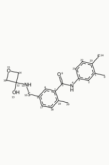 Cc1cc(NC(=O)c2cc(SNC3(O)COC3)ccc2C)ccc1F